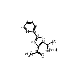 CCCCCC(CC)c1sc(-c2ccccn2)nc1C(N)=O